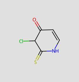 O=C1C=CNC(=S)C1Cl